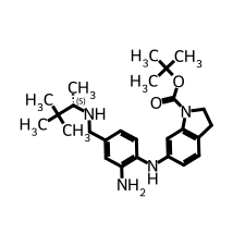 C[C@H](NCc1ccc(Nc2ccc3c(c2)N(C(=O)OC(C)(C)C)CC3)c(N)c1)C(C)(C)C